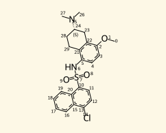 COc1ccc(NS(=O)(=O)c2ccc(Cl)c3ccccc23)c2c1C[C@@H](N(C)C)CC2